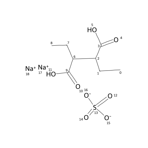 CCC(C(=O)O)C(CC)C(=O)O.O=S(=O)([O-])[O-].[Na+].[Na+]